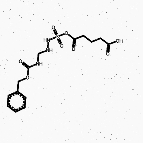 O=C(O)CCCC(=O)OS(=O)(=O)NNCNC(=O)OCc1ccccc1